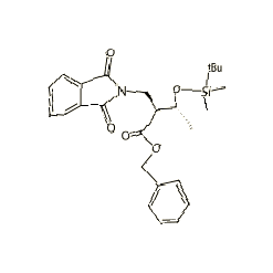 C[C@@H](O[Si](C)(C)C(C)(C)C)[C@H](CN1C(=O)c2ccccc2C1=O)C(=O)OCc1ccccc1